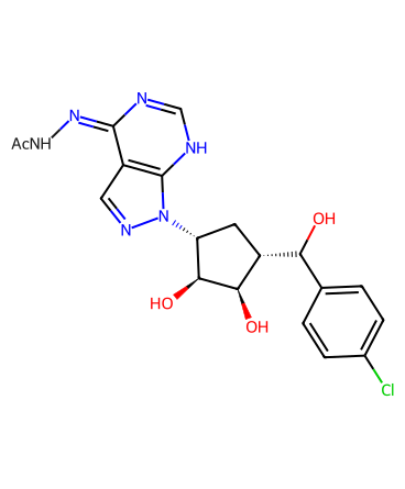 CC(=O)N/N=c1/nc[nH]c2c1cnn2[C@@H]1C[C@H](C(O)c2ccc(Cl)cc2)[C@@H](O)[C@H]1O